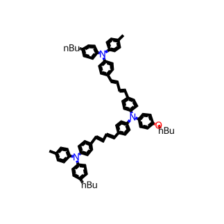 CCCCOc1ccc(N(c2ccc(/C=C/C=C/c3ccc(N(c4ccc(C)cc4)c4ccc(CCCC)cc4)cc3)cc2)c2ccc(/C=C/C=C/c3ccc(N(c4ccc(C)cc4)c4ccc(CCCC)cc4)cc3)cc2)cc1